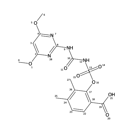 COc1cc(OC)nc(NC(=O)NS(=O)(=O)Oc2c(C(=O)O)ccc(C)c2C)n1